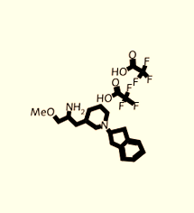 COCC(N)CC1CCCN(C2Cc3ccccc3C2)C1.O=C(O)C(F)(F)F.O=C(O)C(F)(F)F